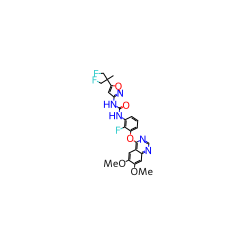 COc1cc2ncnc(Oc3cccc(NC(=O)Nc4cc(C(C)(CF)CF)on4)c3F)c2cc1OC